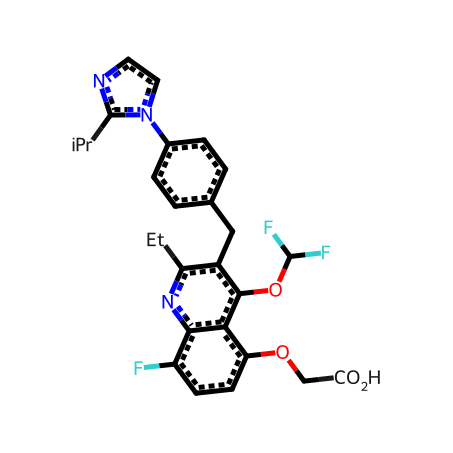 CCc1nc2c(F)ccc(OCC(=O)O)c2c(OC(F)F)c1Cc1ccc(-n2ccnc2C(C)C)cc1